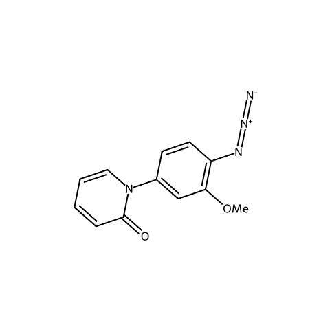 COc1cc(-n2ccccc2=O)ccc1N=[N+]=[N-]